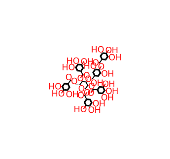 O=C(OC[C@H]1O[C@@H](OC(=O)c2cc(O)c(O)c(O)c2)[C@H](OC(=O)c2cc(O)c(O)c(O)c2)[C@@H](OC(O)c2cc(O)c(OC(=O)c3cc(O)c(O)c(O)c3)c(O)c2)[C@@H]1OC(=O)c1cc(O)c(O)c(O)c1)c1cc(O)c(O)c(O)c1